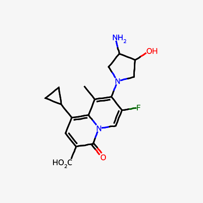 Cc1c(N2CC(N)C(O)C2)c(F)cn2c(=O)c(C(=O)O)cc(C3CC3)c12